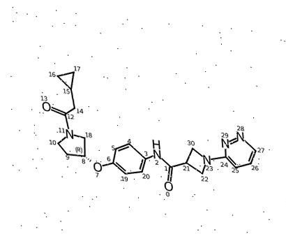 O=C(Nc1ccc(O[C@@H]2CCN(C(=O)CC3CC3)C2)cc1)C1CN(c2cccnn2)C1